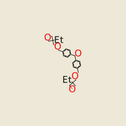 CCC1(COCc2ccc(C(=O)c3ccc(COCC4(CC)COC4)cc3)cc2)COC1